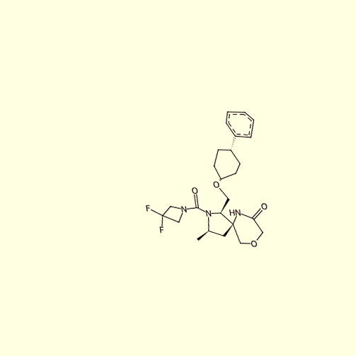 C[C@@H]1C[C@@]2(COCC(=O)N2)[C@H](CO[C@H]2CC[C@@H](c3ccccc3)CC2)N1C(=O)N1CC(F)(F)C1